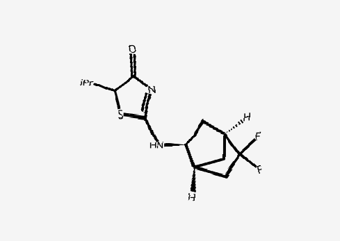 CC(C)C1SC(N[C@H]2C[C@@H]3C[C@@H]2CC3(F)F)=NC1=O